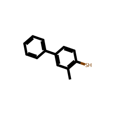 Cc1cc(-c2ccccc2)ccc1S